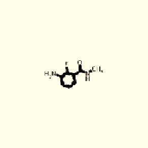 CNC(=O)c1cccc(N)c1F